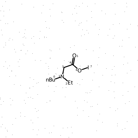 CCCCN(CC)CC(=O)OI